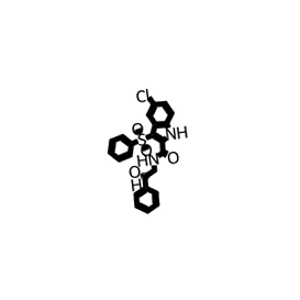 O=C(NC[C@H](O)c1ccccc1)c1[nH]c2ccc(Cl)cc2c1S(=O)(=O)c1ccccc1